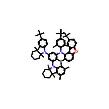 Cc1cc(C)c2c3c1B1c4ccc5oc6ccc(C(C)(C)C)cc6c5c4N(c4c(C)cc(C(C)(C)C)cc4C)c4cc(N5c6ccc(C(C)(C)C)cc6C6(C)CCCCC56C)cc(c41)N3C1(C)CCCCC21C